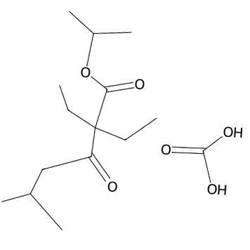 CCC(CC)(C(=O)CC(C)C)C(=O)OC(C)C.O=C(O)O